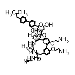 Cc1cc(-c2ccc(CC(C)C)cc2)ccc1C(=O)N[C@@H](CCO)C(=O)N(C)[C@@H]1C(=O)N[C@@H](C)C(=O)N[C@H](C(=O)NCC#N)Cc2ccc(OCCN)c(c2)-c2cc1ccc2OCCN